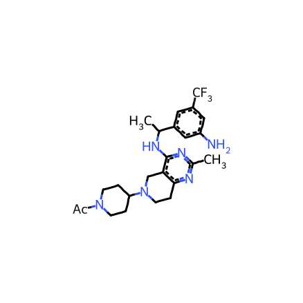 CC(=O)N1CCC(N2CCc3nc(C)nc(NC(C)c4cc(N)cc(C(F)(F)F)c4)c3C2)CC1